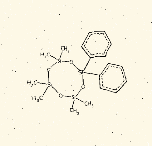 C[Si]1(C)O[Si](C)(C)O[Si](c2ccccc2)(c2ccccc2)O[Si](C)(C)O1